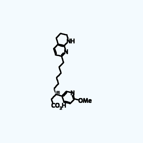 COc1ccc([C@@H](CCCCCCc2ccc3c(n2)NCCC3)CC(=O)O)cn1